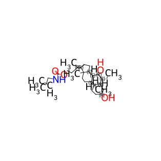 CC[C@H]1[C@@H](O)[C@H]2[C@@H]3CC[C@H]([C@H](C)CCOC(=O)NCC(C)(C)C)C3(C)CC[C@@H]2[C@@]2(C)CC[C@@H](O)C[C@@H]12